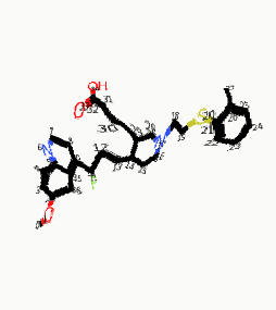 COc1ccc2nccc([C@@H](F)CCC3CCN(CCSc4ccccc4C)CC3CCC(=O)O)c2c1